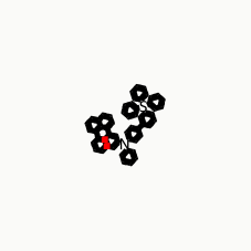 c1ccc(-c2cccc3cccc(-c4cccc(N(c5ccccc5)c5ccc(-c6cccc(S(c7ccccc7)(c7ccccc7)c7ccccc7)c6)cc5)c4)c23)cc1